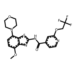 COc1ccc(N2CCOCC2)c2sc(NC(=O)c3ccnc(OCC(F)(F)F)c3)nc12